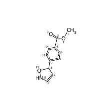 COC(=O)c1ccc(C2C=[C]NO2)cc1